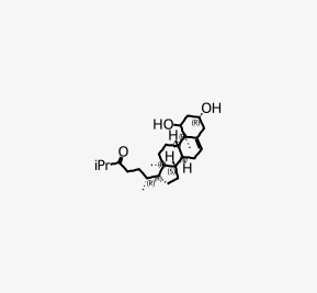 CC(C)C(=O)CC[C@@H](C)[C@H]1CC[C@H]2[C@@H]3CC=C4C[C@@H](O)CC(O)[C@]4(C)[C@H]3CC[C@]12C